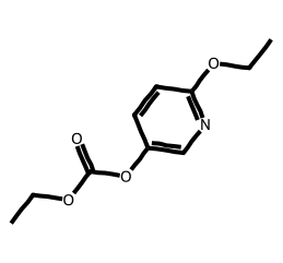 CCOC(=O)Oc1ccc(OCC)nc1